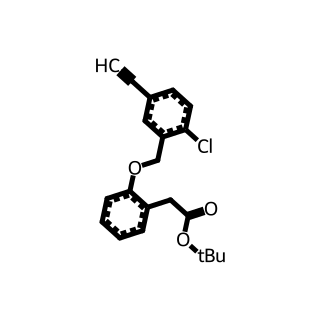 C#Cc1ccc(Cl)c(COc2ccccc2CC(=O)OC(C)(C)C)c1